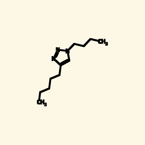 CCCCCc1cn(CCCC)nn1